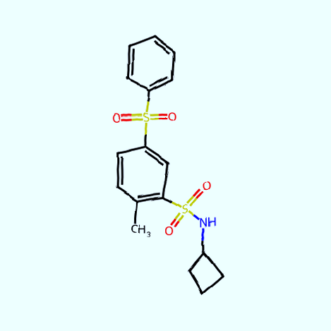 Cc1ccc(S(=O)(=O)c2ccccc2)cc1S(=O)(=O)NC1CCC1